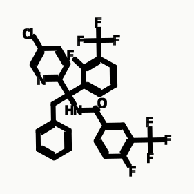 O=C(NC(Cc1ccccc1)(c1ccc(Cl)cn1)c1cccc(C(F)(F)F)c1F)c1ccc(F)c(C(F)(F)F)c1